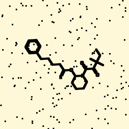 CCC(C)(C)C(=O)C(=O)N1CCCCC1OC(=S)CCCCc1ccccc1